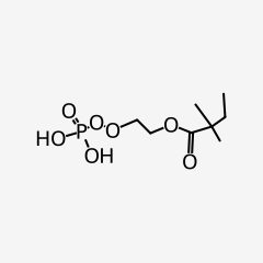 CCC(C)(C)C(=O)OCCOOP(=O)(O)O